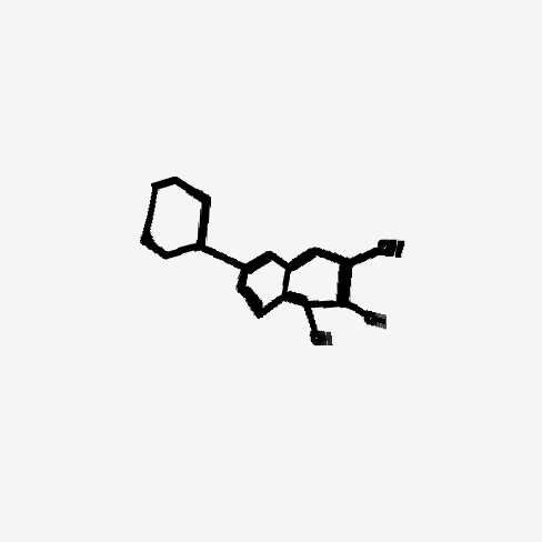 Oc1cc2cc(C3CCCCC3)ccc2c(O)c1O